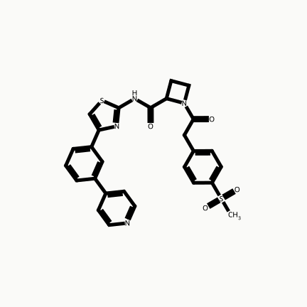 CS(=O)(=O)c1ccc(CC(=O)N2CCC2C(=O)Nc2nc(-c3cccc(-c4ccncc4)c3)cs2)cc1